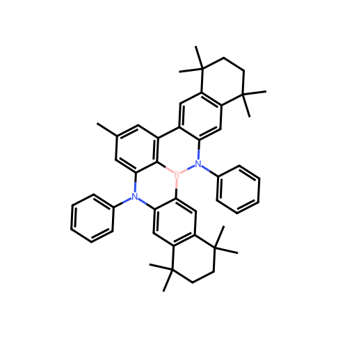 Cc1cc2c3c(c1)N(c1ccccc1)c1cc4c(cc1B3N(c1ccccc1)c1cc3c(cc1-2)C(C)(C)CCC3(C)C)C(C)(C)CCC4(C)C